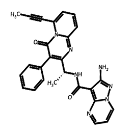 CC#Cc1cccc2nc([C@@H](C)NC(=O)c3c(N)nn4cccnc34)c(-c3ccccc3)c(=O)n12